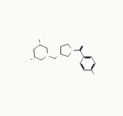 C[C@@H]1[C@@H](O)[C@H](O)[C@@H](O)CN1C[C@H]1CCN(C(=O)c2ccc(C(F)(F)F)cc2)C1